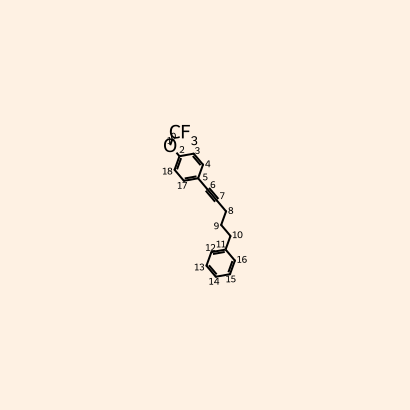 FC(F)(F)Oc1ccc(C#CCCCc2ccccc2)cc1